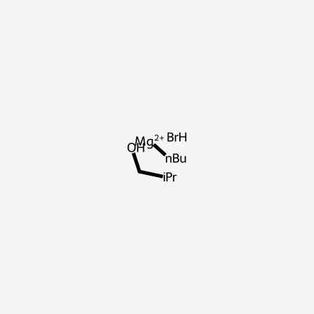 Br.CC(C)CO.CCC[CH2][Mg+2]